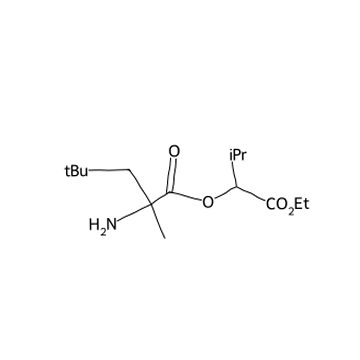 CCOC(=O)C(OC(=O)C(C)(N)CC(C)(C)C)C(C)C